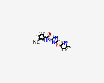 Cc1ccc(Oc2cncc(NC(=O)c3cccc(C#N)c3)n2)cn1